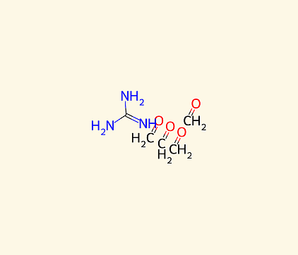 C=O.C=O.C=O.C=O.N=C(N)N